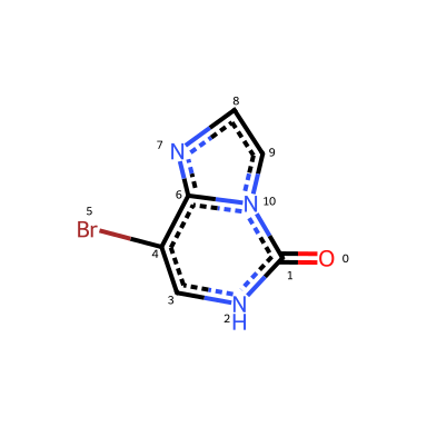 O=c1[nH]cc(Br)c2nccn12